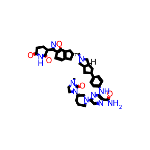 CN1CCN([C@@H]2CCCN(c3cnc(C(N)=O)c(Nc4ccc(C5CC6CN(C[C@@H]7Cc8ccc9c(C%10CCC(=O)NC%10=O)noc9c8C7)C[C@H]6C5)cc4)n3)C2)C1=O